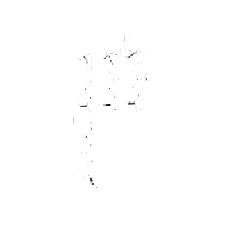 CC(C)(C)CCCCCC(=O)[O-].CC(C)(C)CCCCCC(=O)[O-].CC(C)(C)CCCCCC(=O)[O-].CCCCCCCC#N.[Bi+3]